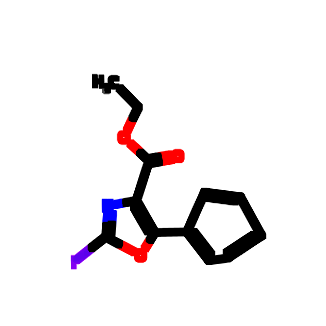 CCOC(=O)c1nc(I)oc1-c1ccccc1